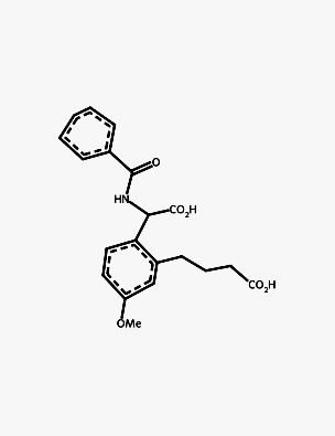 COc1ccc(C(NC(=O)c2ccccc2)C(=O)O)c(CCCC(=O)O)c1